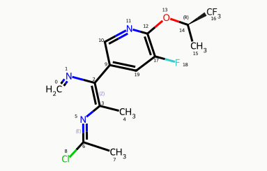 C=N/C(=C(C)\N=C(/C)Cl)c1cnc(O[C@H](C)C(F)(F)F)c(F)c1